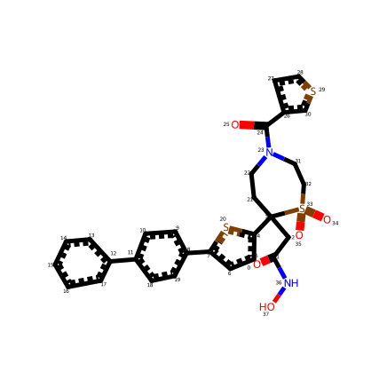 O=C(CC1(c2ccc(-c3ccc(-c4ccccc4)cc3)s2)CCN(C(=O)c2ccsc2)CCS1(=O)=O)NO